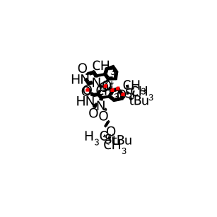 Cc1c(-c2ccccc2[S+]([O-])c2ccccc2-c2c(C)c(=O)[nH]c(=O)n2COCCO[Si](C)(C)C(C)(C)C)n(COCCO[Si](C)(C)C(C)(C)C)c(=O)[nH]c1=O